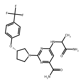 CC(Nc1cc(C(N)=O)nc(N2CC[C@H](Oc3ccc(C(F)(F)F)cc3)C2)n1)C(N)=O